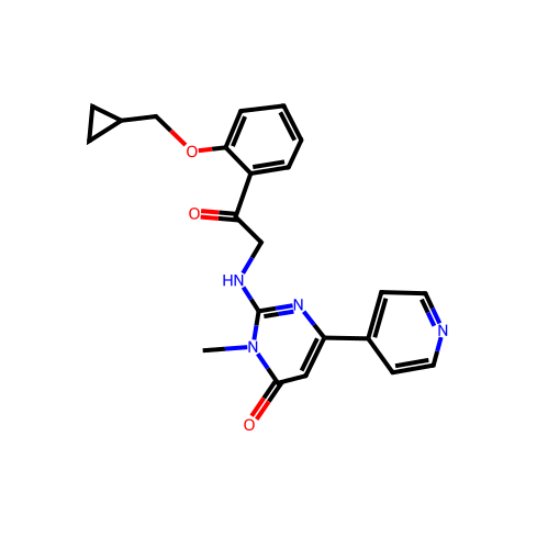 Cn1c(NCC(=O)c2ccccc2OCC2CC2)nc(-c2ccncc2)cc1=O